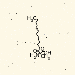 CCCCCCCCCCCCC(=O)C(C)(N)C(=O)O